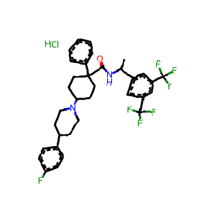 CC(NC(=O)C1(c2ccccc2)CCC(N2CCC(c3ccc(F)cc3)CC2)CC1)c1cc(C(F)(F)F)cc(C(F)(F)F)c1.Cl